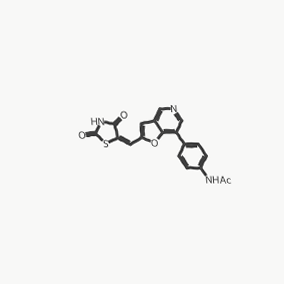 CC(=O)Nc1ccc(-c2cncc3cc(/C=C4/SC(=O)NC4=O)oc23)cc1